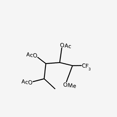 COC(C(OC(C)=O)C(OC(C)=O)C(C)OC(C)=O)C(F)(F)F